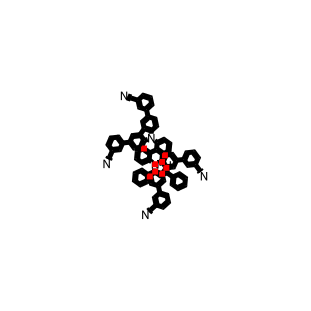 N#Cc1cccc(-c2ccc3c(c2)c2cc(-c4cccc(C#N)c4)ccc2n3-c2ccccc2-c2c(-c3nc(-c4ccccc4)cc(-c4ccccc4)n3)cccc2-n2c3ccc(-c4cccc(C#N)c4)cc3c3cc(-c4cccc(C#N)c4)ccc32)c1